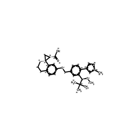 CO[C@H](c1cc(COc2ccc3c(c2)[C@@]2(CCC3)C[C@@H]2C(=O)O)ccc1-c1cnn(C)c1)C(C)(C)C